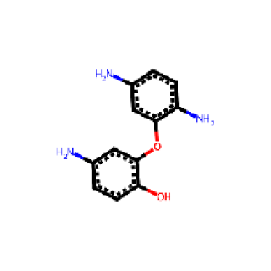 Nc1ccc(N)c(Oc2cc(N)ccc2O)c1